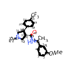 COc1cccc([C@H](C)NC(=O)[C@@H]2CN(C(C)C)C[C@H]2c2ccc(C(F)(F)F)cc2)c1